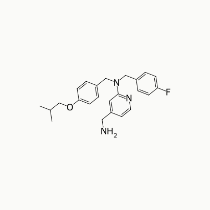 CC(C)COc1ccc(CN(Cc2ccc(F)cc2)c2cc(CN)ccn2)cc1